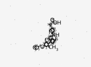 Cc1cc(OCC2CCOC2)cc(C)c1-c1ccc(F)c2c1CC[C@H]2Nc1ccc([C@H]2C[C@@H]2C(=O)O)cn1